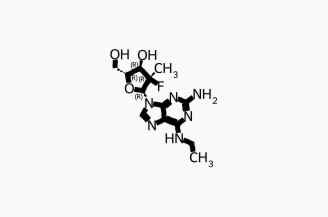 CCNc1nc(N)nc2c1ncn2[C@@H]1O[C@H](CO)[C@@H](O)[C@@]1(C)F